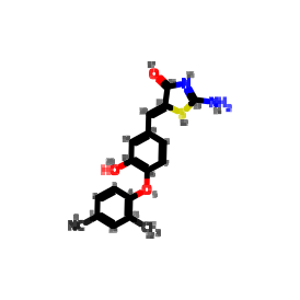 N#Cc1ccc(Oc2ccc(/C=C3\SC(N)=NC3=O)cc2O)c(C(F)(F)F)c1